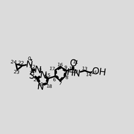 CN(c1nn2c(-c3ccc(C(=O)NCCO)cc3)cnc2s1)C1CC1